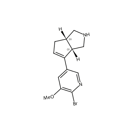 COc1cc(C2=CC[C@@H]3CNC[C@H]23)cnc1Br